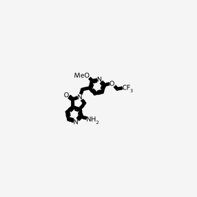 COc1nc(OCC(F)(F)F)ccc1CN1Cc2c(ccnc2N)C1=O